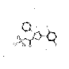 CS(=O)(=O)CC(=O)N1CC(c2cc(F)ccc2F)=C[C@H]1c1ccccc1